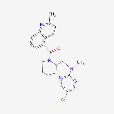 Cc1ccc2c(C(=O)N3CCCCC3CN(C)c3ncc(Br)cn3)cccc2n1